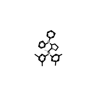 Cc1cc(C)cc(P(c2cc(C)cc(C)c2)[C@H](C)[C@@H]2CCCC2P(c2ccccc2)c2ccccc2)c1